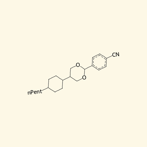 CCCCCC1CCC(C2COC(c3ccc(C#N)cc3)OC2)CC1